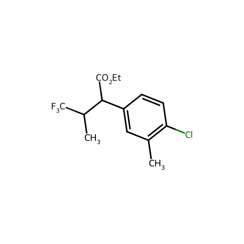 CCOC(=O)C(c1ccc(Cl)c(C)c1)C(C)C(F)(F)F